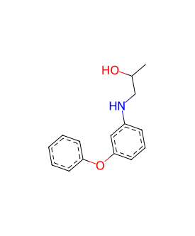 CC(O)CNc1cccc(Oc2ccccc2)c1